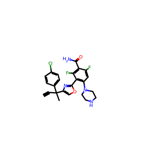 C#CC(C)(c1ccc(Cl)cc1)c1coc(-c2c(N3CCNCC3)cc(F)c(C(N)=O)c2F)n1